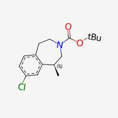 C[C@@H]1CN(C(=O)OC(C)(C)C)CCc2ccc(Cl)cc21